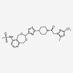 Cc1cc(C(F)(F)F)nn1CC(=O)N1CCC(c2nc(C3OCc4cccc(NS(C)(=O)=O)c4CO3)cs2)CC1